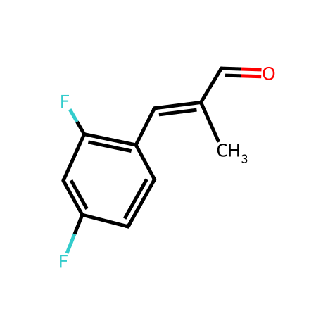 C/C(C=O)=C\c1ccc(F)cc1F